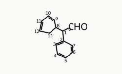 O=CC(c1ccccc1)C1C=CC=CC1